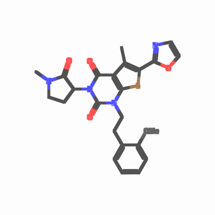 COc1ccccc1CCn1c(=O)n(C2CCN(C)C2=O)c(=O)c2c(C)c(-c3ncco3)sc21